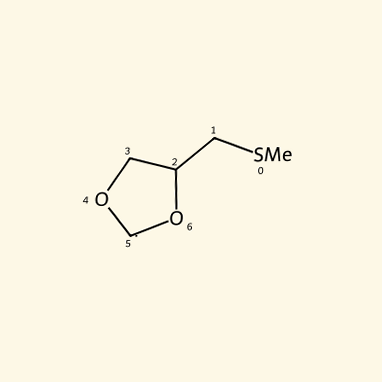 CSCC1CO[CH]O1